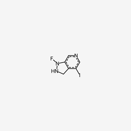 FN1NCc2c(I)cncc21